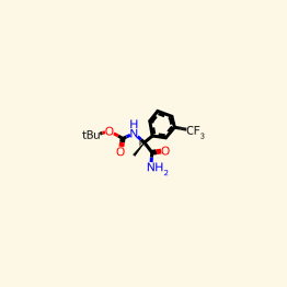 CC(C)(C)OC(=O)N[C@@](C)(C(N)=O)c1cccc(C(F)(F)F)c1